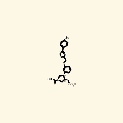 CC(C)COC(=O)N1C[C@H](CC(=O)O)[C@H](c2cccc(OCc3noc(-c4ccc(C(C)(C)C)cc4)n3)c2)C1